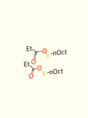 CCCCCCCCSOC(=O)CC.CCCCCCCCSOC(=O)CC